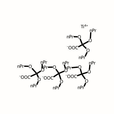 CCCOC(OCCC)(OCCC)C(=O)[O-].CCCOC(OCCC)(OCCC)C(=O)[O-].CCCOC(OCCC)(OCCC)C(=O)[O-].CCCOC(OCCC)(OCCC)C(=O)[O-].[Ti+4]